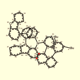 CC(C)(C)c1cc(-c2cccc3cccc(-c4ccccc4N(c4cccc(-c5cccc6oc7ccccc7c56)c4)c4cccc5c6ccccc6n(-c6ccccc6)c45)c23)cc(C(C)(C)C)c1